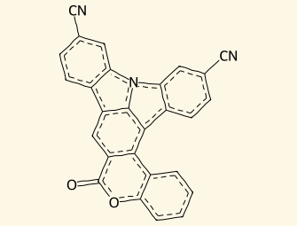 N#Cc1ccc2c3cc4c(=O)oc5ccccc5c4c4c5ccc(C#N)cc5n(c2c1)c34